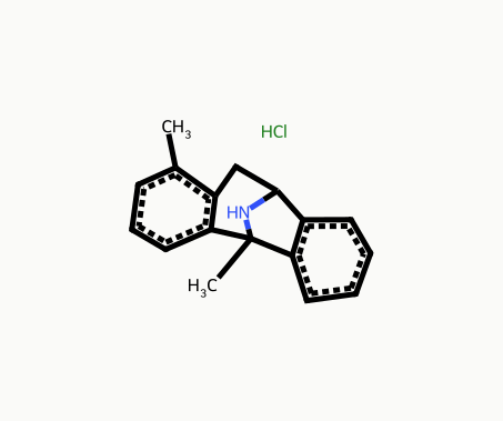 Cc1cccc2c1CC1NC2(C)c2ccccc21.Cl